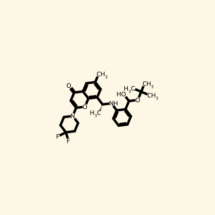 Cc1cc([C@@H](C)Nc2ccccc2C(O)OC(C)(C)C)c2oc(N3CCC(F)(F)CC3)cc(=O)c2c1